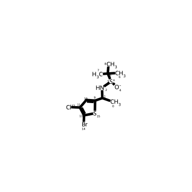 CC(N[S+]([O-])C(C)(C)C)c1cc(Cl)c(Br)s1